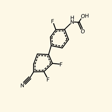 N#Cc1ccc(-c2ccc(NC(=O)O)c(F)c2)c(F)c1F